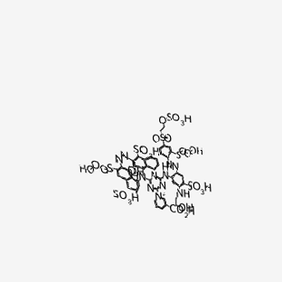 O=C(O)c1ccc[n+](-c2nc(Nc3cc(NCCO)c(S(=O)(=O)O)cc3N=Nc3ccc(S(=O)(=O)CCOS(=O)(=O)O)cc3SOOO)nc(Nc3cc(S(=O)(=O)O)cc4cc(SOOO)c(/N=N\c5ccc6ccccc6c5S(=O)(=O)O)c(O)c34)n2)c1